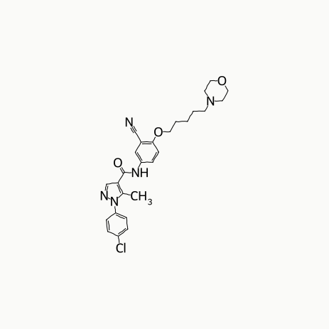 Cc1c(C(=O)Nc2ccc(OCCCCCN3CCOCC3)c(C#N)c2)cnn1-c1ccc(Cl)cc1